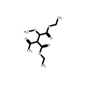 CCOC(=O)C(OC)C(C(C)=O)C(=O)OCC